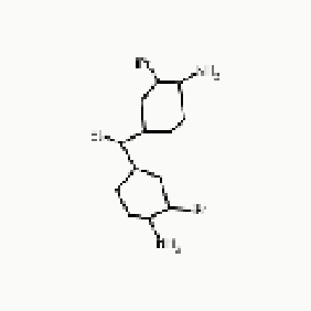 CCC(C1CCC(N)C(C(C)C)C1)C1CCC(N)C(C(C)C)C1